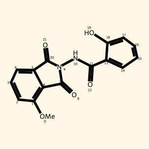 COc1cccc2c1C(=O)N(NC(=O)c1ccccc1O)C2=O